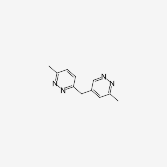 Cc1cc(Cc2ccc(C)nn2)cnn1